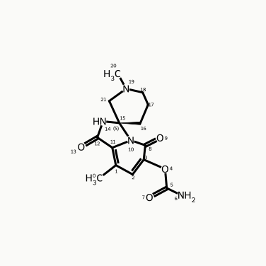 Cc1cc(OC(N)=O)c(=O)n2c1C(=O)N[C@@]21CCCN(C)C1